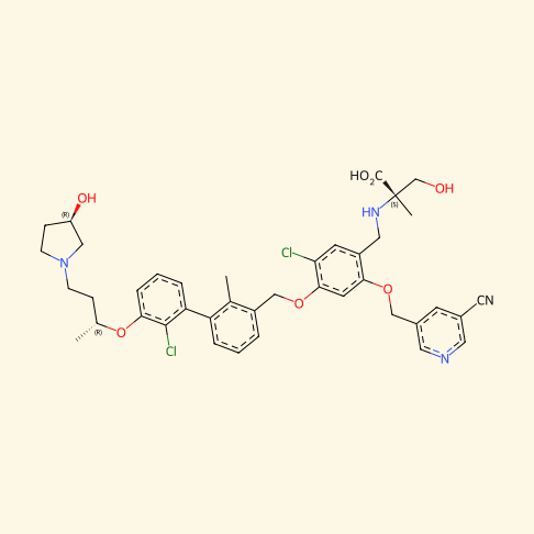 Cc1c(COc2cc(OCc3cncc(C#N)c3)c(CN[C@@](C)(CO)C(=O)O)cc2Cl)cccc1-c1cccc(O[C@H](C)CCN2CC[C@@H](O)C2)c1Cl